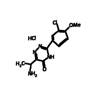 COc1ccc(-c2nnc(C(C)N)c(=O)[nH]2)cc1Cl.Cl